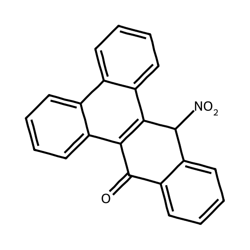 O=C1c2ccccc2C([N+](=O)[O-])c2c1c1ccccc1c1ccccc21